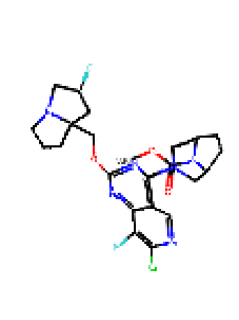 CC(C)(C)OC(=O)N1C2CCC1CN(c1nc(OCC34CCCN3C[C@@H](F)C4)nc3c(F)c(Cl)ncc13)C2